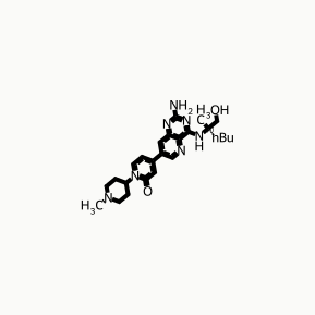 CCCC[C@](C)(CO)Nc1nc(N)nc2cc(-c3ccn(C4CCN(C)CC4)c(=O)c3)cnc12